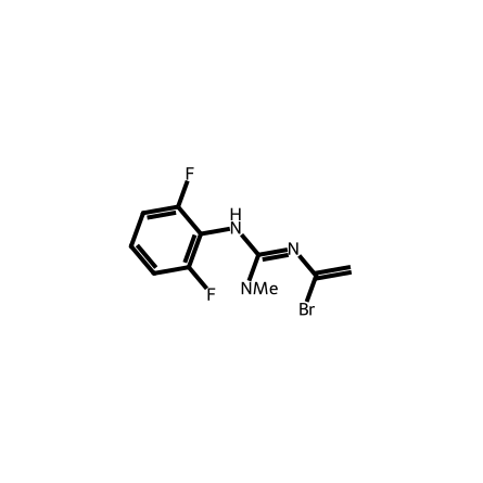 C=C(Br)/N=C(\NC)Nc1c(F)cccc1F